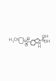 CN1CCN(S(=O)(=O)c2ccc3[nH]c(B(O)O)cc3c2)CC1